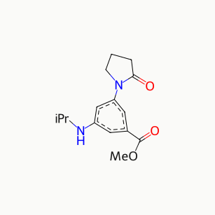 COC(=O)c1cc(NC(C)C)cc(N2CCCC2=O)c1